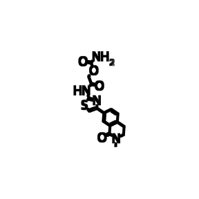 CN1CCc2ccc(-c3csc(NC(=O)COC(N)=O)n3)cc2C1=O